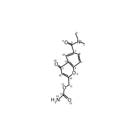 CN(C)C(=O)c1ccc2oc(COC(N)=O)cc(=O)c2c1